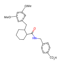 COc1cc(CC2CCCCC2C(=O)NCc2ccc(C(=O)O)cc2)cc(OC)c1